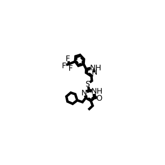 CCc1c(CC2CCCCC2)nc(SCc2cc(-c3cccc(C(F)(F)F)c3)[nH]n2)[nH]c1=O